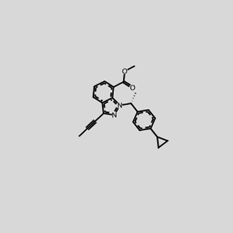 CC#Cc1nn([C@H](C)c2ccc(C3CC3)cc2)c2c(C(=O)OC)cccc12